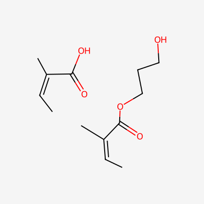 CC=C(C)C(=O)O.CC=C(C)C(=O)OCCCO